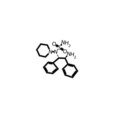 N[C@@H](c1ccccc1)[C@H](c1ccccc1)N(N1CCCCC1)S(N)(=O)=O